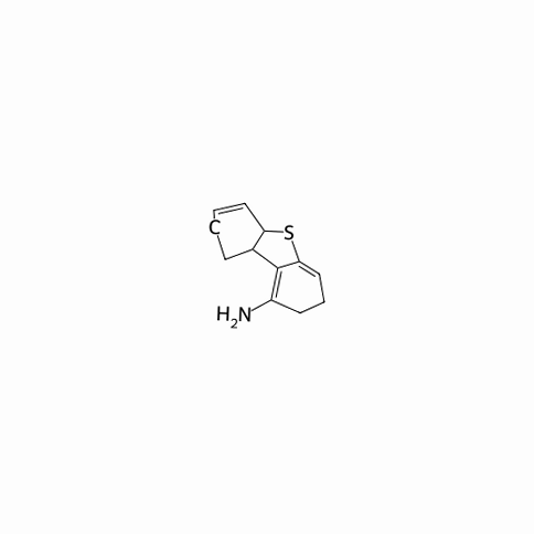 NC1=C2C(=CCC1)SC1C=CCCC21